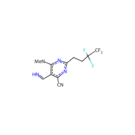 CNc1nc(CCC(F)(F)C(F)(F)F)nc(C#N)c1C=N